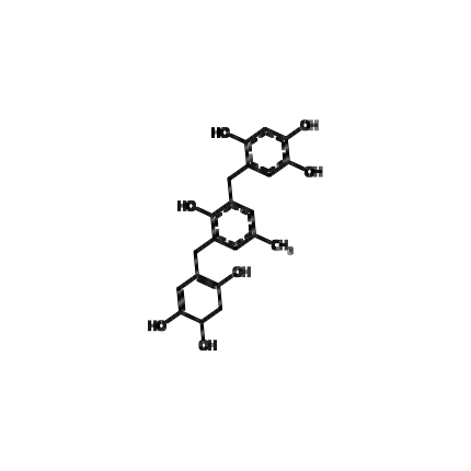 Cc1cc(CC2=C(O)CC(O)C(O)=C2)c(O)c(Cc2cc(O)c(O)cc2O)c1